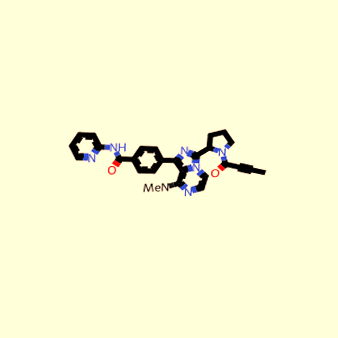 CC#CC(=O)N1CCCC1c1nc(-c2ccc(C(=O)Nc3ccccn3)cc2)c2c(NC)nccn12